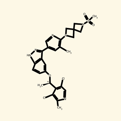 Cc1cc(-c2n[nH]c3ccc(O[C@H](C)c4c(Cl)cnc(C)c4Cl)cc23)cnc1N1CC2(C1)CN(S(C)(=O)=O)C2